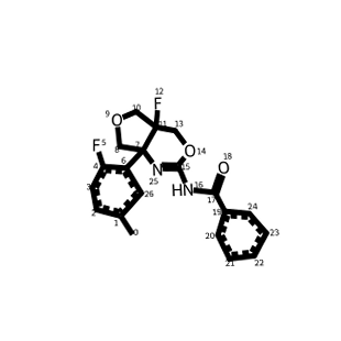 Cc1ccc(F)c(C23COCC2(F)COC(NC(=O)c2ccccc2)=N3)c1